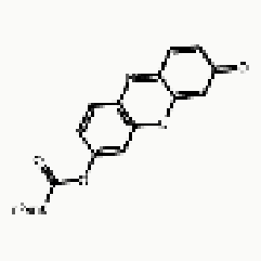 CCCCCC(=O)Oc1ccc2nc3ccc(=O)cc-3oc2c1